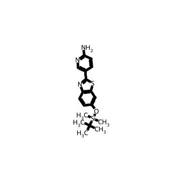 CC(C)(C)[Si](C)(C)Oc1ccc2nc(-c3ccc(N)nc3)sc2c1